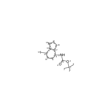 CC(C)(C)OC(=O)Nc1ccc(I)n2nccc12